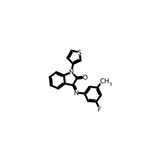 Cc1cc(F)cc(N=C2C(=O)N(c3ccsc3)c3ccccc32)c1